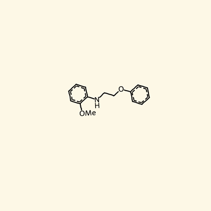 COc1ccccc1NCCOc1ccccc1